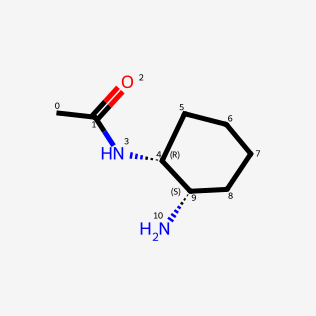 CC(=O)N[C@@H]1CCCC[C@@H]1N